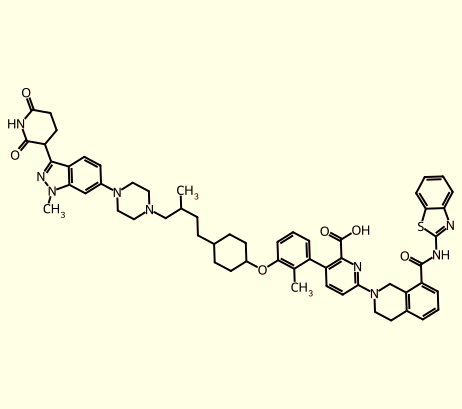 Cc1c(OC2CCC(CCC(C)CN3CCN(c4ccc5c(C6CCC(=O)NC6=O)nn(C)c5c4)CC3)CC2)cccc1-c1ccc(N2CCc3cccc(C(=O)Nc4nc5ccccc5s4)c3C2)nc1C(=O)O